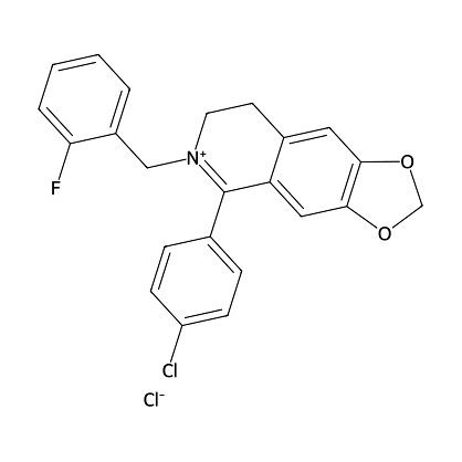 Fc1ccccc1C[N+]1=C(c2ccc(Cl)cc2)c2cc3c(cc2CC1)OCO3.[Cl-]